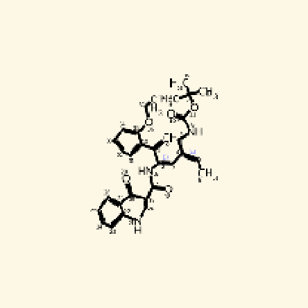 C=C(/C(=C\C(=C/C)CNC(=O)OC(C)(C)C)NC(=O)c1c[nH]c2ccccc2c1=O)c1ccccc1OCC